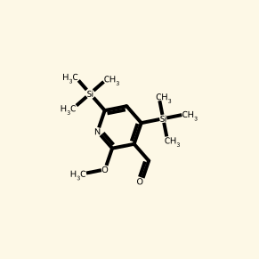 COc1nc([Si](C)(C)C)cc([Si](C)(C)C)c1C=O